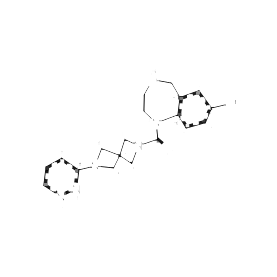 O=C(N1CC2(C1)CN(c1cccnn1)C2)N1CCOCc2cc(Cl)ccc21